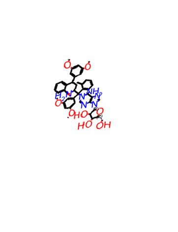 COc1cc(OC)cc(C(CC(N)C(c2cc(OC)cc(OC)c2)(c2ccccc2C)N2C=Nc3c(ncn3[C@@H]3O[C@H](CO)C(O)C3O)C2N)c2ccccc2C)c1